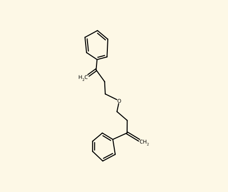 C=C(CCOCCC(=C)c1ccccc1)c1ccccc1